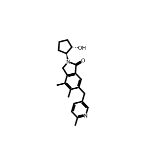 Cc1ccc(Cc2cc3c(c(C)c2C)CN([C@H]2CCC[C@@H]2O)C3=O)cn1